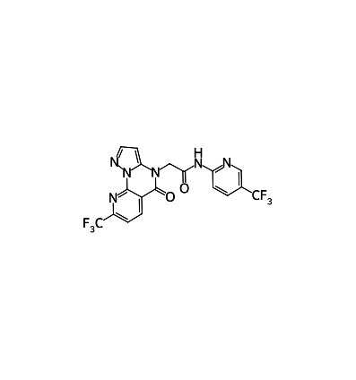 O=C(Cn1c(=O)c2ccc(C(F)(F)F)nc2n2nccc12)Nc1ccc(C(F)(F)F)cn1